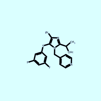 CC(=O)OC(C)c1nc(C(C)C)c(Sc2cc(F)cc(F)c2)n1Cc1ccncc1